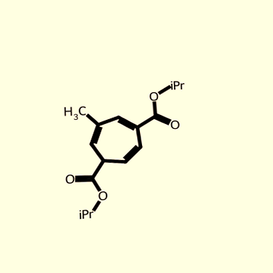 CC1=CC(C(=O)OC(C)C)C=CC(C(=O)OC(C)C)=C1